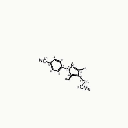 CONc1c(C)nn(-c2ccc(C#N)cc2)c1C